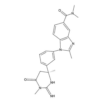 Cc1nc2cc(C(=O)N(C)C)ccc2n1-c1cccc([C@]2(C)CC(=O)N(C)C(=N)N2)c1